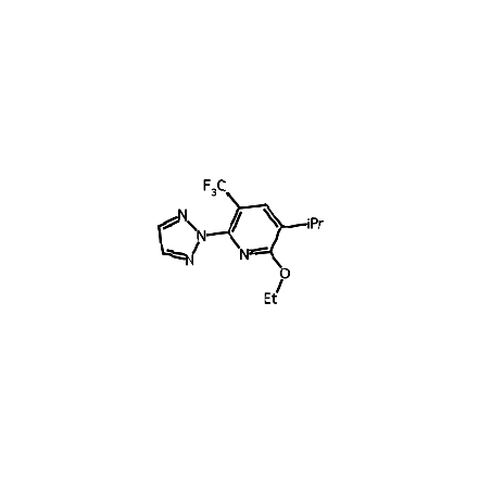 CCOc1nc(-n2nccn2)c(C(F)(F)F)cc1C(C)C